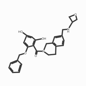 O=C(c1c(O)cc(O)cc1OCc1ccccc1)N1CCc2ccc(CNC3COC3)cc2C1